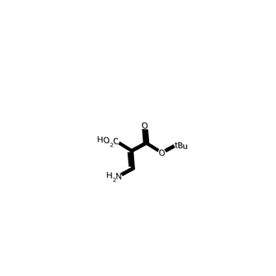 CC(C)(C)OC(=O)C(=CN)C(=O)O